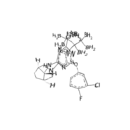 BC(B)(B)C(B)(n1nc(N[C@@H]2[C@@H]3CC[C@H]2CN(c2cnnc(OC)c2)C3)nc1Oc1ccc(F)c(Cl)c1)C(B)(B)B